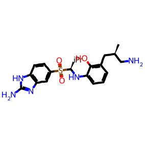 CC(C)[C@@H](Nc1cccc(C[C@@H](C)CN)c1O)S(=O)(=O)c1ccc2[nH]c(N)nc2c1